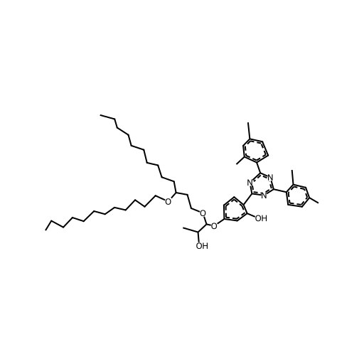 CCCCCCCCCCCCOC(CCCCCCCCCC)CCOC(Oc1ccc(-c2nc(-c3ccc(C)cc3C)nc(-c3ccc(C)cc3C)n2)c(O)c1)C(C)O